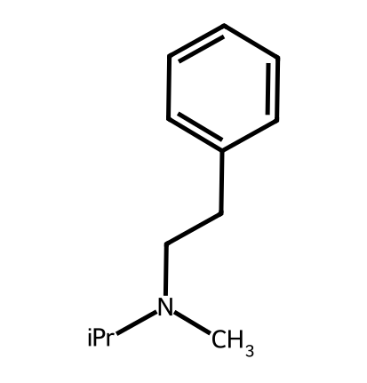 CC(C)N(C)CCc1ccccc1